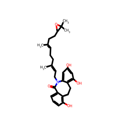 C/C(=C\CN1C(=O)c2cccc(O)c2CCc2c(O)cc(O)cc21)CC/C=C(\C)CCC1OC1(C)C